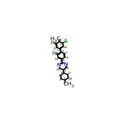 CC1CCC(C2C=NC(c3ccc(C4=CC(F)C(C)C(F)=C4)c(F)c3)=NC2)CC1